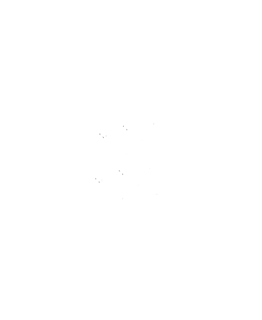 N#CNS(=O)(=O)C(F)(F)F.N#CNS(=O)(=O)C(F)(F)F